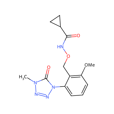 COc1cccc(-n2nnn(C)c2=O)c1CONC(=O)C1CC1